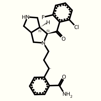 NC(=O)c1ccccc1[CH]CCN1CC2CNC[C@H]2[C@H]1C(=O)c1c(F)cccc1Cl